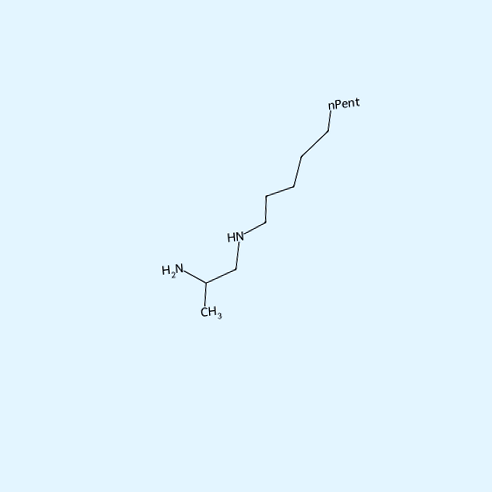 CCCCCCCCCCNCC(C)N